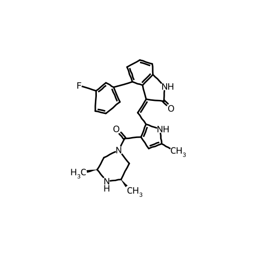 Cc1cc(C(=O)N2C[C@@H](C)N[C@@H](C)C2)c(/C=C2\C(=O)Nc3cccc(-c4cccc(F)c4)c32)[nH]1